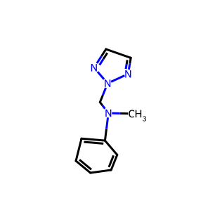 CN(Cn1nccn1)c1ccccc1